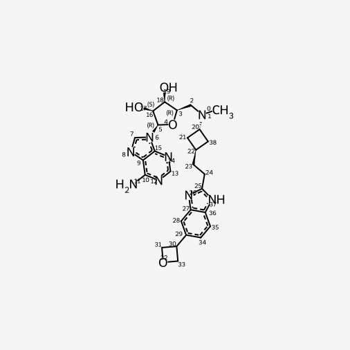 CN(C[C@H]1O[C@@H](n2cnc3c(N)ncnc32)[C@@H](O)[C@H]1O)[C@H]1C[C@H](CCc2nc3cc(C4COC4)ccc3[nH]2)C1